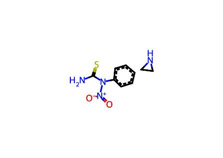 C1CN1.NC(=S)N(c1ccccc1)[N+](=O)[O-]